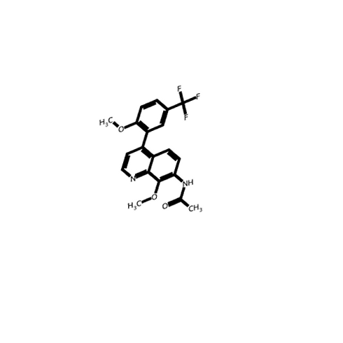 COc1ccc(C(F)(F)F)cc1-c1ccnc2c(OC)c(NC(C)=O)ccc12